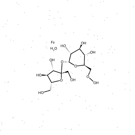 O.OC[C@H]1O[C@@](CO)(O[C@H]2O[C@H](COO)[C@@H](O)[C@H](O)[C@H]2O)[C@@H](O)[C@@H]1O.[Fe]